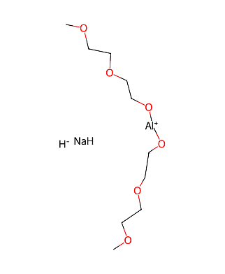 COCCOCC[O][Al+][O]CCOCCOC.[H-].[NaH]